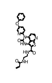 C=CC(=O)NCCNC(=O)c1sc2nccc3c2c1NC(=O)N3c1ccc(Oc2ccccc2)cn1